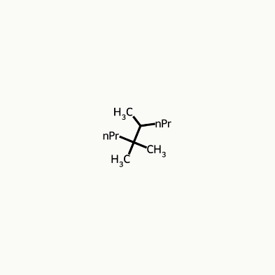 [CH2]CCC(C)C(C)(C)CCC